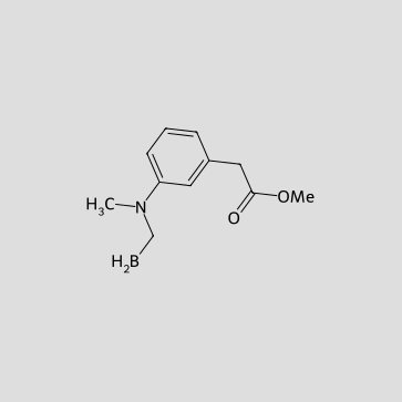 BCN(C)c1cccc(CC(=O)OC)c1